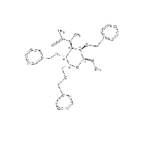 CO[C@H]1O[C@H](COCc2ccccc2)[C@H](OCc2ccccc2)[C@@H](N(C)C(C)=O)[C@H]1OCc1ccccc1